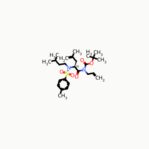 C=CCN(C(=O)OC(C)(C)C)C(=O)[C@H](CC(=C)C)N(CCC(C)C)S(=O)(=O)c1ccc(C)cc1